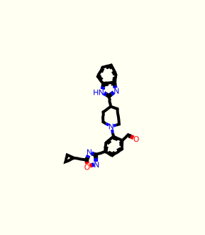 O=Cc1ccc(-c2noc(C3CC3)n2)cc1N1CCC(c2nc3ccccc3[nH]2)CC1